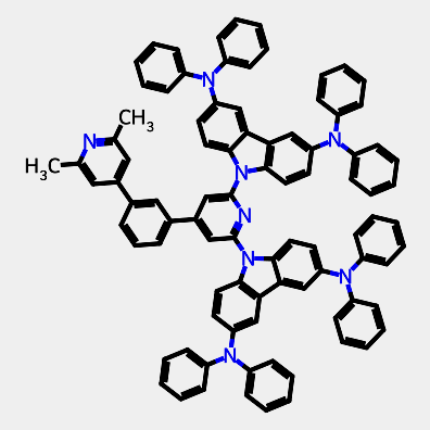 Cc1cc(-c2cccc(-c3cc(-n4c5ccc(N(c6ccccc6)c6ccccc6)cc5c5cc(N(c6ccccc6)c6ccccc6)ccc54)nc(-n4c5ccc(N(c6ccccc6)c6ccccc6)cc5c5cc(N(c6ccccc6)c6ccccc6)ccc54)c3)c2)cc(C)n1